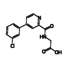 O=C(O)CNC(=O)c1cc(-c2cccc(Cl)c2)ccn1